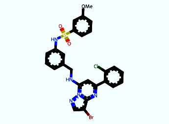 COc1cccc(S(=O)(=O)Nc2cccc(CNc3cc(-c4ccccc4Cl)nc4c(Br)cnn34)c2)c1